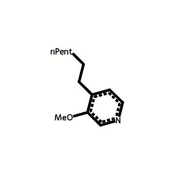 CCCCCCCc1ccncc1OC